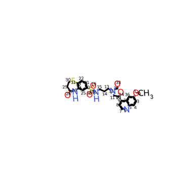 COc1ccc2nccc([C@@H]3CN(CCCNS(=O)(=O)c4ccc5c(c4)NC(=O)CCS5)C(=O)O3)c2c1